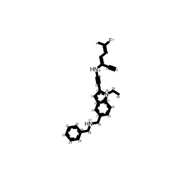 C#C/C(=C\C=C(/C)F)NC#Cc1cc2cc(CNCc3ccccc3)ccc2n1CC